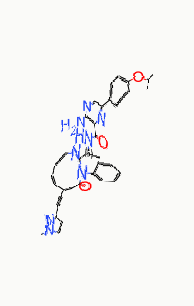 CC(C)Oc1ccc(-c2cnc(N)c(C(=O)N[C@@H](C)c3nccccc(C#Cc4ccn(C)n4)cc(=O)n3-c3ccccc3)n2)cc1